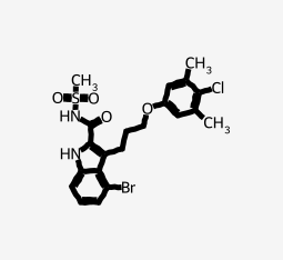 Cc1cc(OCCCc2c(C(=O)NS(C)(=O)=O)[nH]c3cccc(Br)c23)cc(C)c1Cl